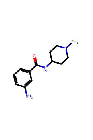 CN1CCC(NC(=O)c2cccc(N)c2)CC1